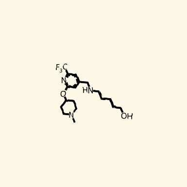 CN1CCC(Oc2cc(CNCCCCCO)cc(C(F)(F)F)n2)CC1